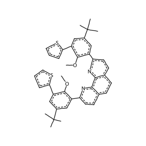 COc1c(-c2ccc3ccc4ccc(-c5cc(C(C)(C)C)cc(-c6cccs6)c5OC)nc4c3n2)cc(C(C)(C)C)cc1-c1cccs1